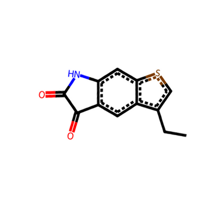 CCc1csc2cc3c(cc12)C(=O)C(=O)N3